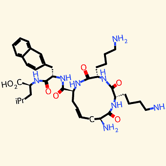 CC(C)C[C@H](NC(=O)[C@H](Cc1ccc2ccccc2c1)NC(=O)[C@@H]1C/C=C/C[C@H](N)C(=O)N[C@@H](CCCCN)C(=O)N[C@@H](CCCCN)C(=O)N1)C(=O)O